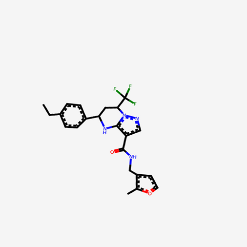 CCc1ccc(C2CC(C(F)(F)F)n3ncc(C(=O)NCc4ccoc4C)c3N2)cc1